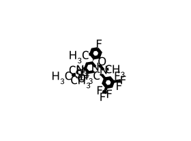 Cc1cc(F)ccc1[C@H]1C/C(=N/[S+]([O-])C(C)(C)C)CCN1C(=O)N(C)[C@H](C)c1cc(C(F)(F)F)cc(C(F)(F)F)c1